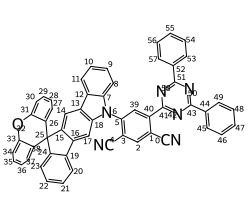 N#Cc1cc(C#N)c(-n2c3ccccc3c3cc4c(cc32)-c2ccccc2C42c3ccccc3Oc3ccccc32)cc1-c1nc(-c2ccccc2)nc(-c2ccccc2)n1